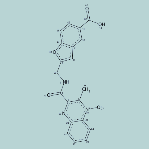 Cc1c(C(=O)NCc2cc3cc(C(=O)O)ccc3o2)nc2ccccc2[n+]1[O-]